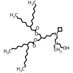 CCCCCCCCC(CCCCCC)CC(=O)OCC(CCCCN(CCN(CC)CCO)C1CCC1)COC(=O)CC(CCCCCC)CCCCCCCC